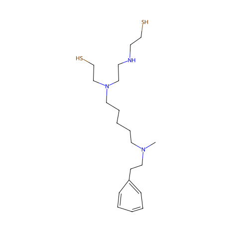 CN(CCCCCN(CCS)CCNCCS)CCc1ccccc1